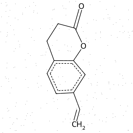 C=Cc1ccc2c(c1)OC(=O)CC2